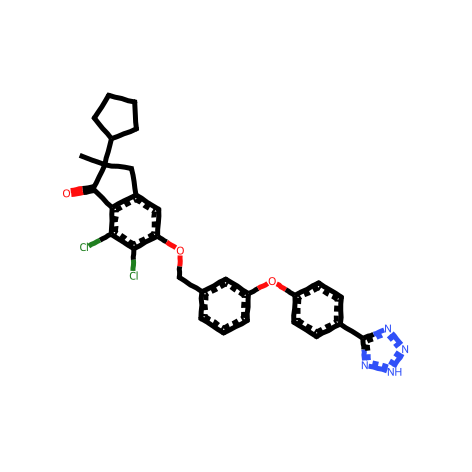 CC1(C2CCCC2)Cc2cc(OCc3cccc(Oc4ccc(-c5nn[nH]n5)cc4)c3)c(Cl)c(Cl)c2C1=O